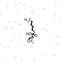 CCCCCSP(=O)(O)OCC